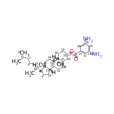 CC(C)CCCC(C)[C@H]1CC[C@H]2C3CC=C4C[C@@H](OC(=O)c5cc(N)cc(N)c5)CC[C@]4(C)[C@H]3CC[C@]12C